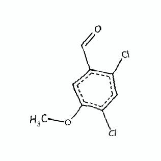 COc1cc(C=O)c(Cl)cc1Cl